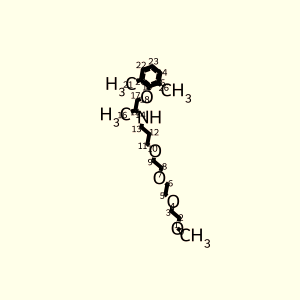 COCCOCCOCCOCCCNC(C)COc1c(C)cccc1C